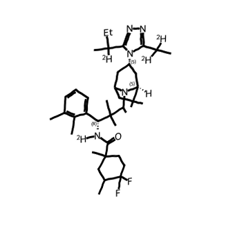 [2H]N(C(=O)C1(C)CCC(F)(F)C(C)C1)[C@H](c1cccc(C)c1C)C(C)(C)C(C)N1C2C[C@H](n3c(C([2H])([2H])C)nnc3C([2H])(C)CC)C[C@H]1C(C)(C)C2